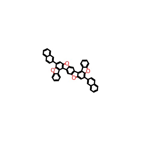 c1ccc2cc(-c3cc4oc5cc6c(cc5c4c4c3oc3ccccc34)oc3cc(-c4ccc5ccccc5c4)c4oc5ccccc5c4c36)ccc2c1